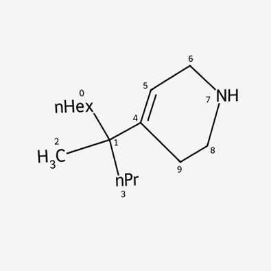 CCCCCCC(C)(CCC)C1=CCNCC1